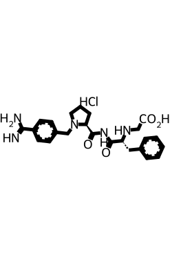 Cl.N=C(N)c1ccc(CN2CCC[C@H]2C(=O)NC(=O)[C@@H](Cc2ccccc2)NCC(=O)O)cc1